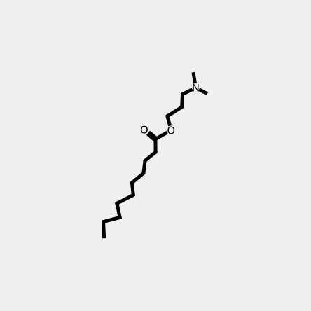 CCCCCCCCCC(=O)OCCCN(C)C